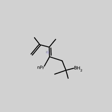 BC(C)(C)C/C(CCC)=C(\C)C(=C)C